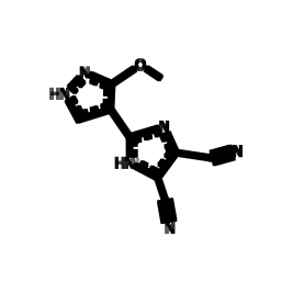 COc1n[nH]cc1-c1nc(C#N)c(C#N)[nH]1